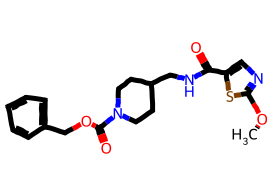 COc1ncc(C(=O)NCC2CCN(C(=O)OCc3ccccc3)CC2)s1